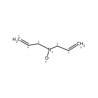 C=CCN([O])CC=C